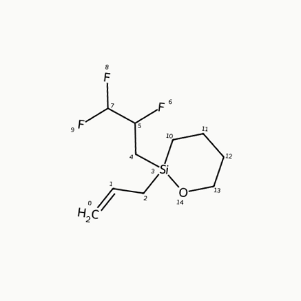 C=CC[Si]1(CC(F)C(F)F)CCCCO1